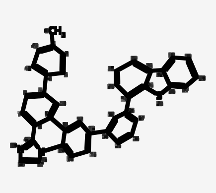 Cc1ccc(-c2ccc3c(c2)c2cc(-c4cccc(-c5cccc6c5sc5ccccc56)c4)ccc2n2ccnc32)cc1